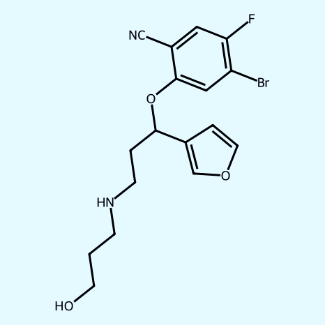 N#Cc1cc(F)c(Br)cc1OC(CCNCCCO)c1ccoc1